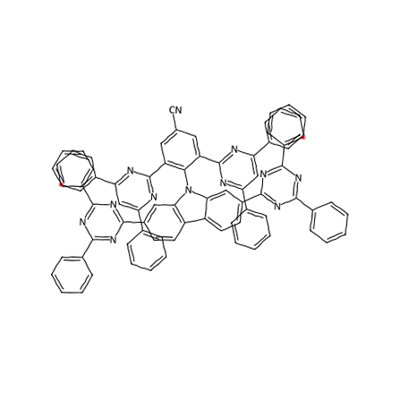 N#Cc1cc(-c2nc(-c3ccccc3)cc(-c3ccccc3)n2)c(-n2c3cc(-c4nc(-c5ccccc5)nc(-c5ccccc5)n4)ccc3c3ccc(-c4nc(-c5ccccc5)nc(-c5ccccc5)n4)cc32)c(-c2nc(-c3ccccc3)cc(-c3ccccc3)n2)c1